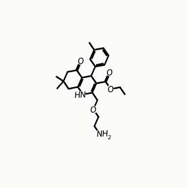 CCOC(=O)C1=C(COCCN)NC2=C(C(=O)CC(C)(C)C2)C1c1cccc(C)c1